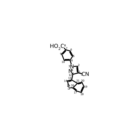 N#Cc1cn(-c2ccc(C(=O)O)cc2)nc1-c1csc2ccccc12